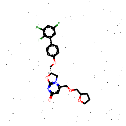 O=c1cc(COCC2CCCO2)n2c(n1)O[C@H](COc1ccc(-c3cc(F)cc(F)c3F)cc1)C2